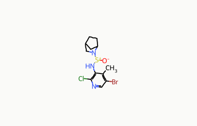 Cc1c(Br)cnc(Cl)c1N[S+]([O-])N1CC2CCC1C2